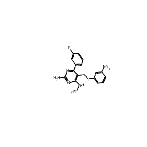 CCCNc1nc(N)nc(-c2cccc(F)c2)c1CSc1cccc([N+](=O)[O-])c1